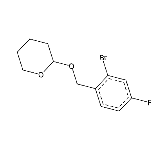 Fc1ccc(COC2CCCCO2)c(Br)c1